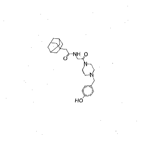 O=C(CC12CC3CC(CC(C3)C1)C2)NCC(=O)N1CCN(Cc2ccc(O)cc2)CC1